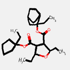 CCC1OC(CC)C(C(=O)OC2(CC)CC3CCC2C3)C1C(=O)OC1(CC)CCCC1